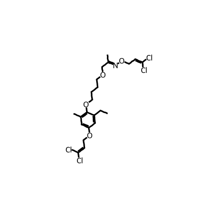 CCc1cc(OCC=C(Cl)Cl)cc(C)c1OCCCCOCC(C)=NOCC=C(Cl)Cl